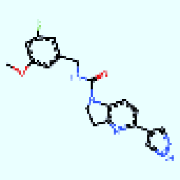 COc1cc(F)cc(CNC(=O)N2CCc3nc(-c4cn[nH]c4)ccc32)c1